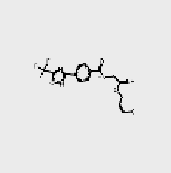 N=C(CNC(=O)c1ccc(-c2noc(C(F)(F)F)n2)cc1)OC/C=C\Cl